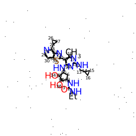 CCNC(=O)N[C@H]1C[C@@H](Nc2nc(NCC3CC3)nc(C)c2-c2nc3c(C4CC4)nccc3s2)[C@H](O)[C@@H]1O